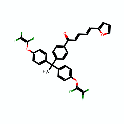 CC(c1ccc(OC(F)=C(F)F)cc1)(c1ccc(OC(F)=C(F)F)cc1)c1ccc(C(=O)C=CC=Cc2ccco2)cc1